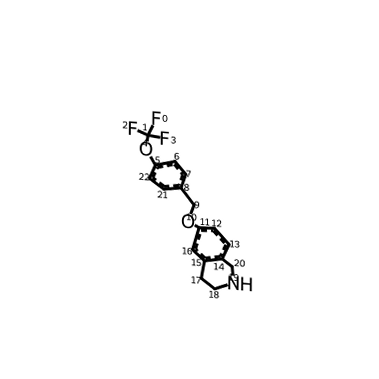 FC(F)(F)Oc1ccc(COc2ccc3c(c2)CCNC3)cc1